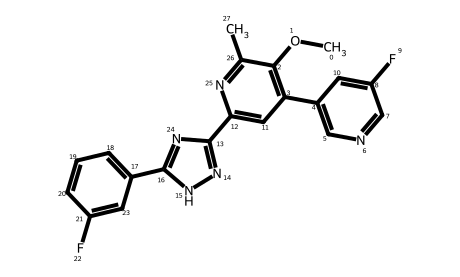 COc1c(-c2cncc(F)c2)cc(-c2n[nH]c(-c3cccc(F)c3)n2)nc1C